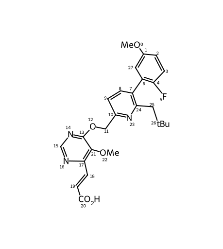 COc1ccc(F)c(-c2ccc(COc3ncnc(C=CC(=O)O)c3OC)nc2CC(C)(C)C)c1